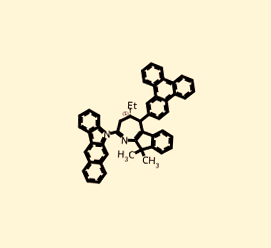 CC[C@H]1CC(n2c3ccccc3c3cc4ccccc4cc32)=NC2=C(c3ccccc3C2(C)C)C1c1ccc2c3ccccc3c3ccccc3c2c1